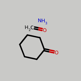 C=O.N.O=C1CCCCC1